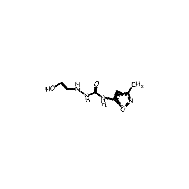 Cc1cc(NC(=O)NNCCO)on1